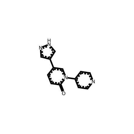 O=c1ccc(-c2cn[nH]c2)cn1-c1ccncc1